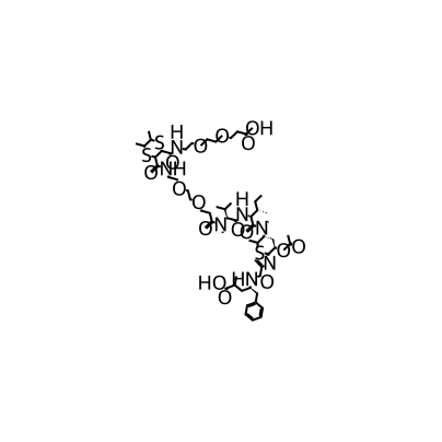 CC[C@H](C)[C@H](NC(=O)[C@H](C(C)C)N(C)C(=O)CCOCCOCCNC(=O)C1SC(C)C(C)SC1C(=O)NCCOCCOCCC(=O)O)C(=O)N(C)[C@H](C[C@@H](OC(C)=O)c1nc(C(=O)N[C@@H](Cc2ccccc2)CC(C)C(=O)O)cs1)C(C)C